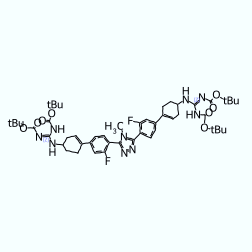 Cn1c(-c2ccc(C3=CCC(N/C(=N/C(=O)OC(C)(C)C)NC(=O)OC(C)(C)C)CC3)cc2F)nnc1-c1ccc(C2=CCC(N/C(=N/C(=O)OC(C)(C)C)NC(=O)OC(C)(C)C)CC2)cc1F